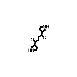 O=C(CCC(=O)c1cc[nH]c1)c1cc[nH]c1